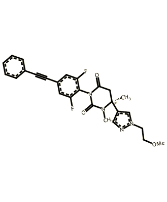 COCCn1cc([C@]2(C)CC(=O)N(c3c(F)cc(C#Cc4ccccc4)cc3F)C(=O)N2C)cn1